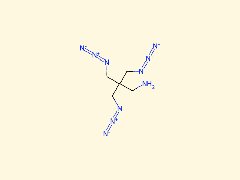 [N-]=[N+]=NCC(CN)(CN=[N+]=[N-])CN=[N+]=[N-]